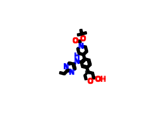 CCc1ncc(Nc2cc([C@H](CC)CC(=O)O)ccc2C2CCN(C(=O)OC(C)(C)C)CC2)cn1